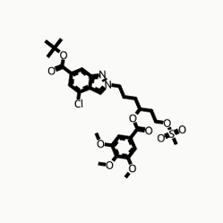 COc1cc(C(=O)OC(CCCn2cc3c(Cl)cc(C(=O)OC(C)(C)C)cc3n2)CCOS(C)(=O)=O)cc(OC)c1OC